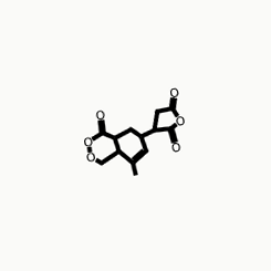 CC1=CC(C2CC(=O)OC2=O)CC2C(=O)OOCC12